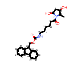 CC1C(O)CC(O)N1C(=O)CCCCCNC(=O)OCC1c2ccccc2-c2ccccc21